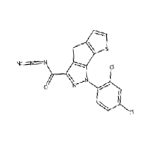 [N-]=[N+]=NC(=O)c1nn(-c2ccc(Cl)cc2Cl)c2c1Cc1ccsc1-2